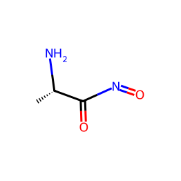 C[C@H](N)C(=O)N=O